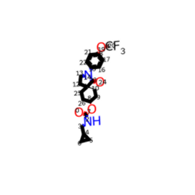 O=C(NCC1CC1)O[C@H]1CC[C@@]2(CCN(c3ccc(OC(F)(F)F)cc3)C2=O)CC1